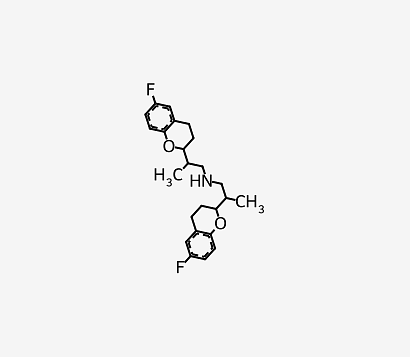 CC(CNCC(C)C1CCc2cc(F)ccc2O1)C1CCc2cc(F)ccc2O1